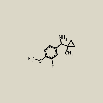 CC1(C(N)c2ccc(SC(F)(F)F)c(F)c2)CC1